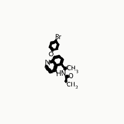 C=CC(=O)NC(C)c1ccc(Oc2ccc(Br)cc2)c2ncccc12